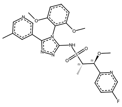 COc1cccc(OC)c1-n1c(NS(=O)(=O)[C@@H](C)[C@@H](OC)c2ccc(F)cn2)nnc1-c1cncc(C)c1